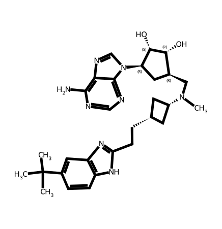 CN(C[C@H]1C[C@@H](n2cnc3c(N)ncnc32)[C@H](O)[C@@H]1O)[C@H]1C[C@@H](CCc2nc3cc(C(C)(C)C)ccc3[nH]2)C1